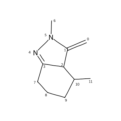 C=C1C2C(=NN1C)CCCC2C